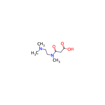 CN(C)CCN(C)C(=O)CC(=O)O